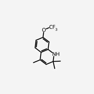 CC1=CC(C)(C)Nc2cc(OC(F)(F)F)ccc21